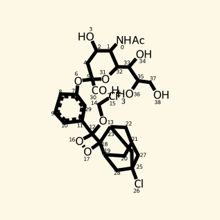 CC(=O)NC1C(O)CC(Oc2cccc(C3(OCC(F)(F)F)OOC34C3CC5CC4CC(Cl)(C5)C3)c2)(C(=O)O)OC1C(O)C(O)CO